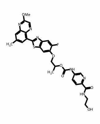 COc1cnc2c(-c3nc4cc(F)c(OCC(C)OC(=O)Nc5ccc(C(=O)NCCO)nc5)cc4s3)cc(C)cc2n1